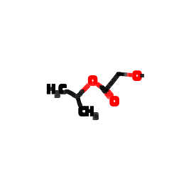 CC(C)OC(=O)C[O]